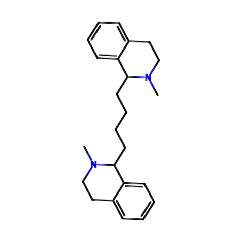 CN1CCc2ccccc2C1CCCCC1c2ccccc2CCN1C